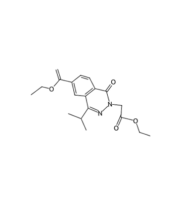 C=C(OCC)c1ccc2c(=O)n(CC(=O)OCC)nc(C(C)C)c2c1